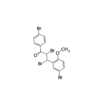 COc1ccc(Br)cc1C(Br)C(Br)C(=O)c1ccc(Br)cc1